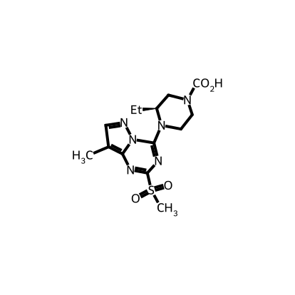 CC[C@H]1CN(C(=O)O)CCN1c1nc(S(C)(=O)=O)nc2c(C)cnn12